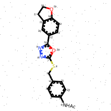 CC(=O)Nc1ccc(CSc2nnc(-c3ccc4c(c3)CCO4)o2)cc1